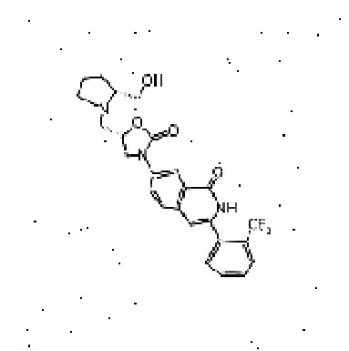 O=C1O[C@@H](CN2CCC[C@@H]2CO)CN1c1ccc2cc(-c3ccccc3C(F)(F)F)[nH]c(=O)c2c1